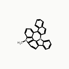 Cn1c2cccc3c2c2c1ccc1c4ccccc4n(c4ccc5ccccc5c34)c12